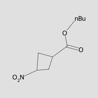 CCCCOC(=O)C1CC([N+](=O)[O-])C1